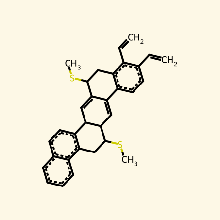 C=Cc1ccc2c(c1C=C)CC(SC)C1=CC3c4ccc5ccccc5c4CC(SC)C3C=C12